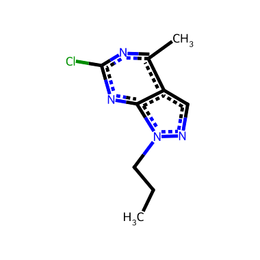 CCCn1ncc2c(C)nc(Cl)nc21